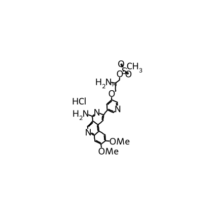 COc1cc2ncc3c(N)nc(-c4cncc(OC[C@@H](N)COS(C)(=O)=O)c4)cc3c2cc1OC.Cl